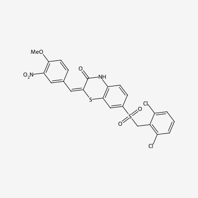 COc1ccc(/C=C2/Sc3cc(S(=O)(=O)Cc4c(Cl)cccc4Cl)ccc3NC2=O)cc1[N+](=O)[O-]